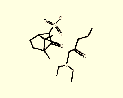 CC12CCC(C(S(=O)(=O)[O-])C1=O)C2(C)C.CCCC(=O)C[S+](CC)CC